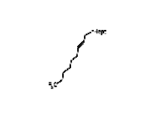 [CH2]CCCCCCC/C=C/CCCCCC(F)(F)F